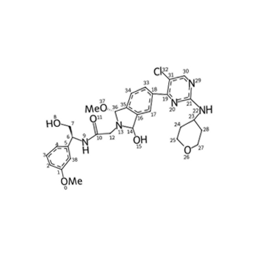 COc1cccc([C@@H](CO)NC(=O)CN2C(O)c3cc(-c4nc(NC5CCOCC5)ncc4Cl)ccc3[C@H]2OC)c1